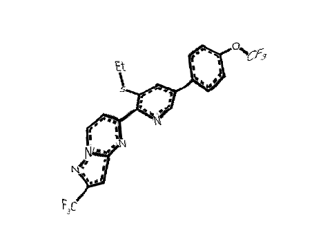 CCSc1cc(-c2ccc(OC(F)(F)F)cc2)cnc1-c1ccn2nc(C(F)(F)F)cc2n1